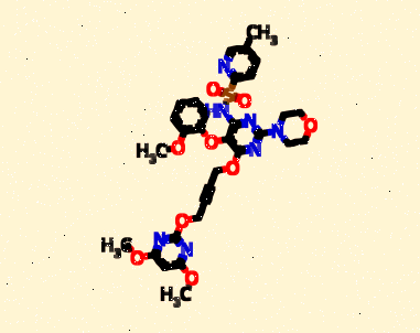 COc1cc(OC)nc(OCC#CCOc2nc(N3CCOCC3)nc(NS(=O)(=O)c3ccc(C)cn3)c2Oc2ccccc2OC)n1